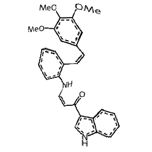 COc1cc(/C=C\c2ccccc2N/C=C\C(=O)c2c[nH]c3ccccc23)cc(OC)c1OC